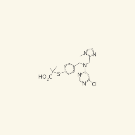 Cn1ccnc1CN(Cc1ccc(SC(C)(C)C(=O)O)cc1)c1cc(Cl)ncn1